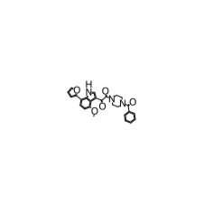 COc1ccc(-c2ccco2)c2[nH]cc(C(=O)C(=O)N3CCN(C(=O)c4ccccc4)CC3)c12